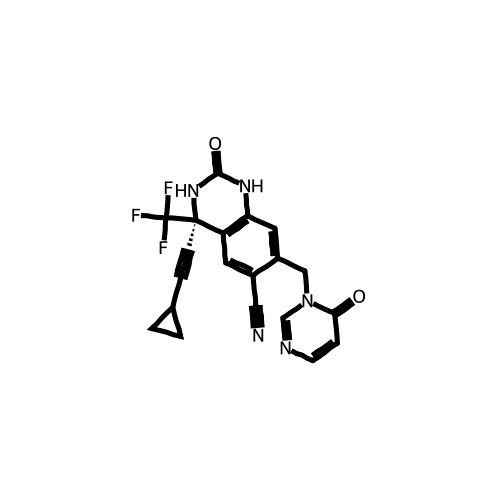 N#Cc1cc2c(cc1Cn1cnccc1=O)NC(=O)N[C@]2(C#CC1CC1)C(F)(F)F